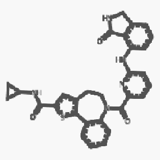 O=C(NC1CC1)c1cc2c(s1)-c1ccccc1N(C(=O)c1cccc(Nc3cccc4c3C(=O)NC4)n1)CC2